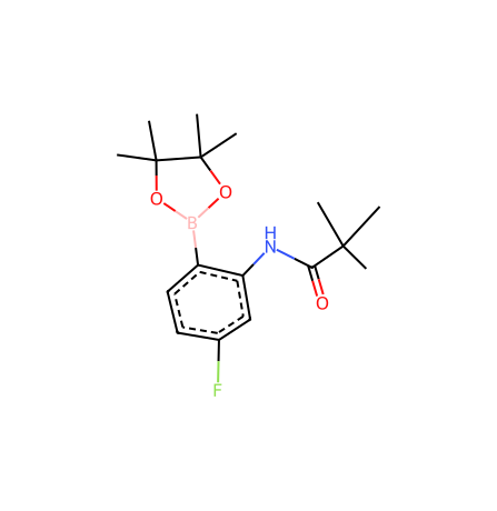 CC(C)(C)C(=O)Nc1cc(F)ccc1B1OC(C)(C)C(C)(C)O1